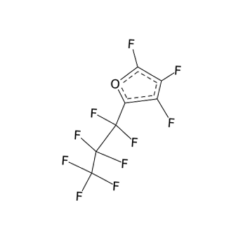 Fc1oc(C(F)(F)C(F)(F)C(F)(F)F)c(F)c1F